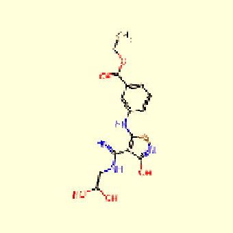 CCOC(=O)c1cccc(Nc2snc(O)c2C(=N)NCC(O)O)c1